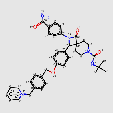 CC(C)(C)NC(=O)N1CCC2(CC1)C(=O)N(c1ccc(C(N)=O)cc1)C2c1ccc(OCc2ccc(C[N+]34CCC(CC3)CC4)cc2)cc1